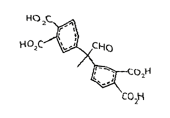 CC(C=O)(c1ccc(C(=O)O)c(C(=O)O)c1)c1ccc(C(=O)O)c(C(=O)O)c1